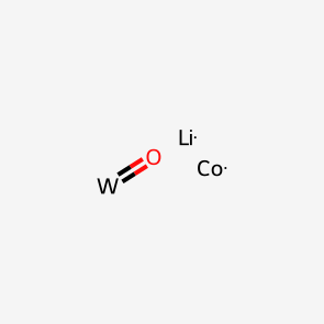 [Co].[Li].[O]=[W]